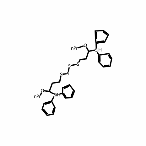 CCCOC(CCSSSSCCC(OCCC)[SiH](c1ccccc1)c1ccccc1)[SiH](c1ccccc1)c1ccccc1